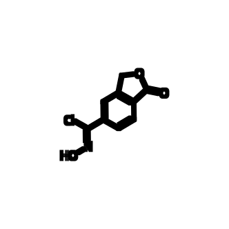 O=C1OCc2cc(/C(Cl)=N/O)ccc21